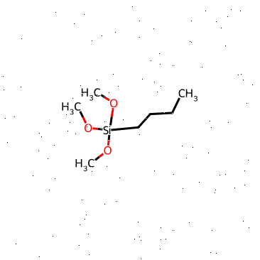 CCCC[Si](OC)(OC)OC